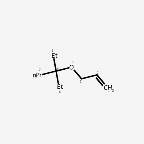 C=CCOC(CC)(CC)CCC